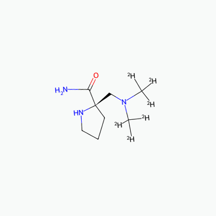 [2H]C([2H])([2H])N(C[C@@]1(C(N)=O)CCCN1)C([2H])([2H])[2H]